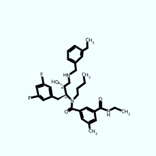 CCCCN(C(=O)c1cc(C)cc(C(=O)NCC)c1)[C@@H](Cc1cc(F)cc(F)c1)[C@H](O)CNCc1cccc(CC)c1